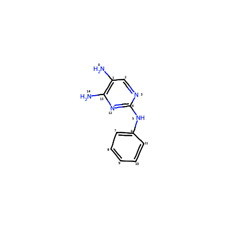 Nc1cnc(Nc2ccccc2)nc1N